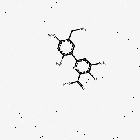 COC(=O)c1nc(-c2cc(CN)c(OC)cc2N)cc(N)c1Cl